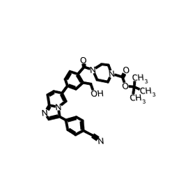 CC(C)(C)OC(=O)N1CCN(C(=O)c2ccc(-c3ccc4ncc(-c5ccc(C#N)cc5)n4c3)cc2CO)CC1